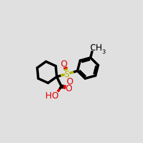 Cc1cccc(S(=O)(=O)C2(C(=O)O)CCCCC2)c1